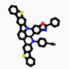 CC(C)(C)c1ccc(N2B3c4cc5nc(-c6ccccc6)oc5cc4-n4c5cc6sc7ccccc7c6cc5c5ccc(c3c54)-c3cc4sc5ccccc5c4cc32)cc1